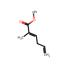 C=CCC=C(C)C(=O)OCCC